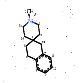 CN1CCC2(CCc3ccccc3C2)CC1